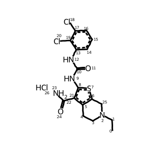 CCN1CCc2c(sc(NC(=O)Nc3cccc(Cl)c3Cl)c2C(N)=O)C1.Cl